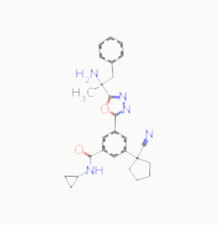 C[C@@](N)(Cc1ccccc1)c1nnc(-c2cc(C(=O)NC3CC3)cc(C3(C#N)CCCC3)c2)o1